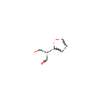 O=CC(CO)c1ccco1